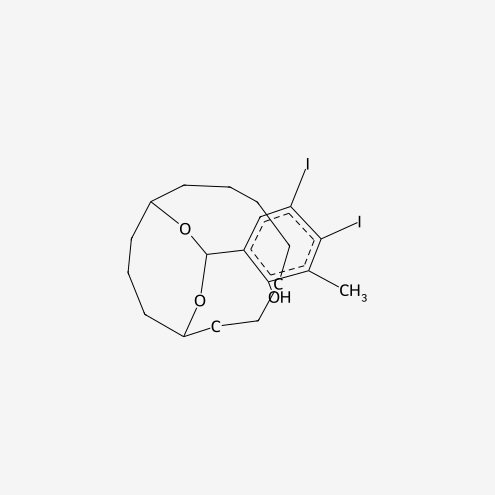 Cc1c(O)c(C2OC3CCCCCCCC(CCC3)O2)cc(I)c1I